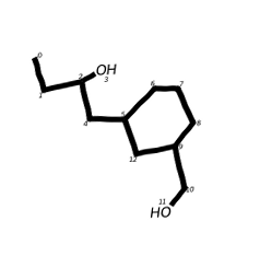 CCC(O)CC1CCCC(CO)C1